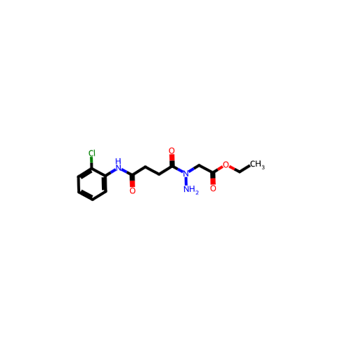 CCOC(=O)CN(N)C(=O)CCC(=O)Nc1ccccc1Cl